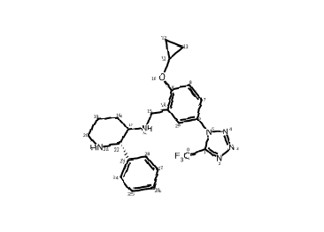 FC(F)(F)c1nnnn1-c1ccc(OC2CC2)c(CNC2CCCN[C@H]2c2ccccc2)c1